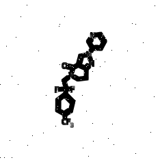 O=C1c2cn(-c3cccnc3)nc2CCN1CC(F)(F)c1ccc(C(F)(F)F)cc1